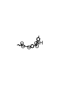 CC=CC(=O)OCCCOc1ccc(C(=O)ONc2ccc(C)cc2)cc1